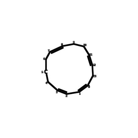 [C]1=CC=CCCCC=CCCC=CC1